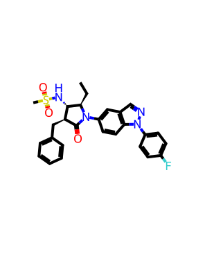 CC[C@@H]1[C@@H](NS(C)(=O)=O)[C@H](Cc2ccccc2)C(=O)N1c1ccc2c(cnn2-c2ccc(F)cc2)c1